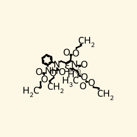 C=CCOC(=O)Nc1ccccc1N(CC1=C(C(=O)OCC=C)N2C(=O)[C@H]([C@@H](C)OC(=O)OCC=C)[C@H]2S1)C(=O)OCC=C